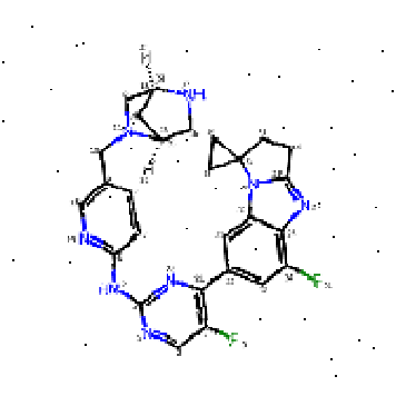 Fc1cnc(Nc2ccc(CN3C[C@@H]4C[C@H]3CN4)cn2)nc1-c1cc(F)c2nc3n(c2c1)C1(CC3)CC1